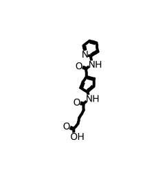 O=C(O)CCCC(=O)Nc1ccc(C(=O)Nc2ccccn2)cc1